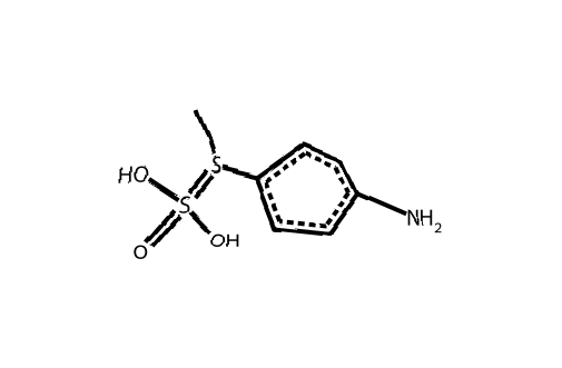 CS(c1ccc(N)cc1)=S(=O)(O)O